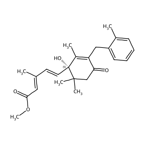 COC(=O)C=C(C)C=C[C@@]1(O)C(C)=C(Cc2ccccc2C)C(=O)CC1(C)C